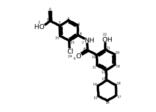 C=C(O)c1ccc(NC(=O)c2cc(C3CCCCC3)ccc2O)c(Cl)c1